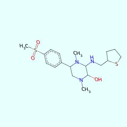 CN1CC(c2ccc(S(C)(=O)=O)cc2)N(C)C(NCC2CCCS2)C1O